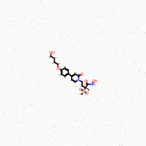 C[C@@](CCn1ccc(-c2ccc(OCCCCO)cc2)cc1=O)(C(=O)NO)S(C)(=O)=O